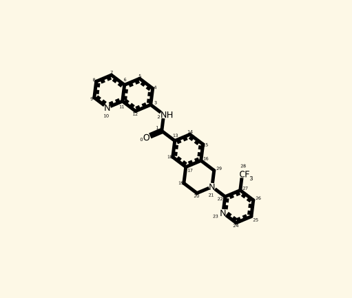 O=C(Nc1ccc2cccnc2c1)c1ccc2c(c1)CCN(c1ncccc1C(F)(F)F)C2